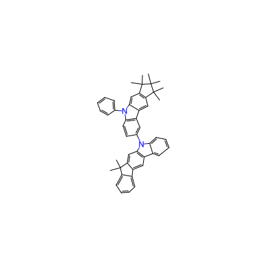 CC1(C)c2ccccc2-c2cc3c4ccccc4n(-c4ccc5c(c4)c4cc6c(cc4n5-c4ccccc4)C(C)(C)C(C)(C)C6(C)C)c3cc21